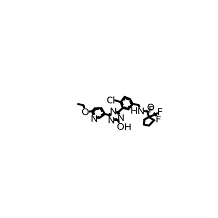 CCOc1ccc(-c2nc(O)nc(-c3cc(CNC(=O)C4(C(F)(F)F)CCCC4)ccc3Cl)n2)cn1